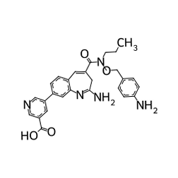 CCCN(OCc1ccc(N)cc1)C(=O)C1=Cc2ccc(-c3cncc(C(=O)O)c3)cc2N=C(N)C1